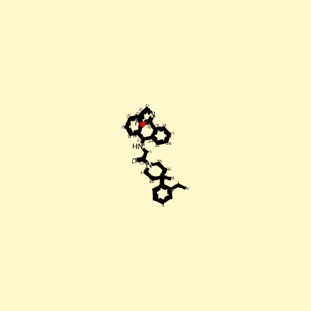 CCc1ccccc1C1(C)CCN(C(=O)CNC(c2ccccc2)c2ccccc2-c2ncc[nH]2)CC1